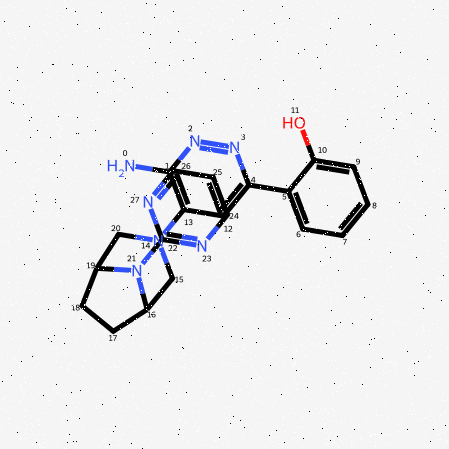 Nc1nnc(-c2ccccc2O)cc1N1CC2CCC(C1)N2c1ncccn1